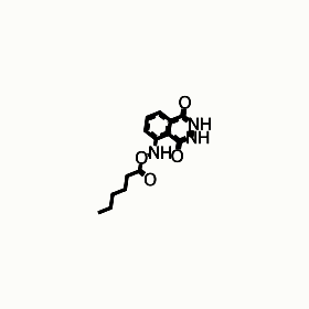 CCCCCC(=O)ONc1cccc2c(=O)[nH][nH]c(=O)c12